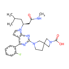 CNC(=O)C[C@H](CC(C)C)n1ccc2c(-c3ccccc3F)nc(N3CCC4(CN(C(=O)O)C4)C3)nc21